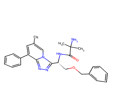 CC(C)(N)C(=O)N[C@H](COCc1ccccc1)c1nnc2c(-c3ccccc3)cc(C#N)cn12